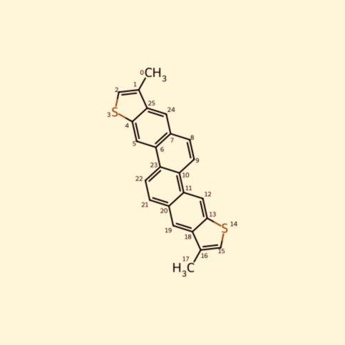 Cc1csc2cc3c(ccc4c5cc6scc(C)c6cc5ccc34)cc12